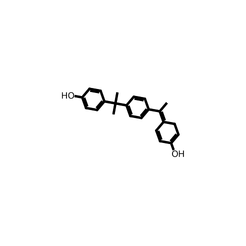 CC(=C1C=CC(O)=CC1)c1ccc(C(C)(C)c2ccc(O)cc2)cc1